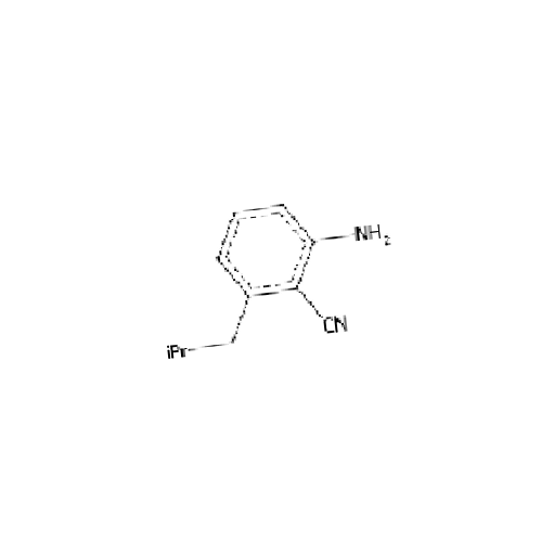 CC(C)Cc1cccc(N)c1C#N